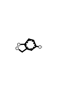 [O]c1ccc2c(c1)COO2